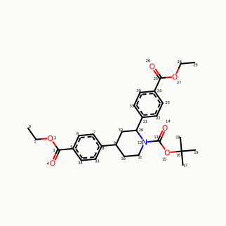 CCOC(=O)c1ccc(C2CCN(C(=O)OC(C)(C)C)C(c3ccc(C(=O)OCC)cc3)C2)cc1